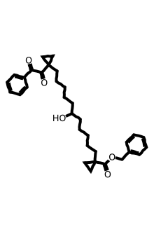 O=C(C(=O)C1(CCCCCC(O)CCCCCC2(C(=O)OCc3ccccc3)CC2)CC1)c1ccccc1